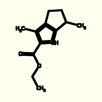 CCOC(=O)c1[nH]c2c(c1C)CCC2C